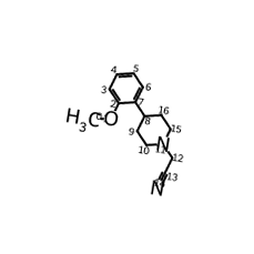 COc1ccccc1C1CCN(CC#N)CC1